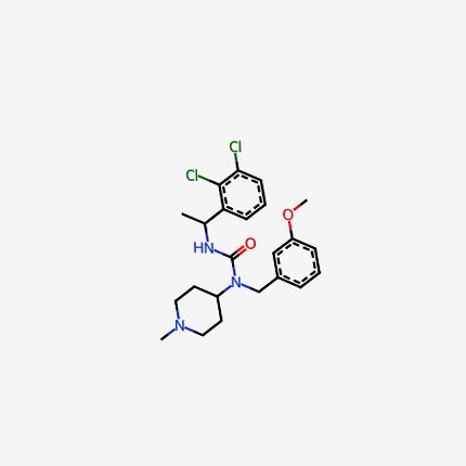 COc1cccc(CN(C(=O)NC(C)c2cccc(Cl)c2Cl)C2CCN(C)CC2)c1